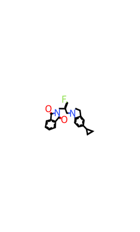 O=C1c2ccccc2C(=O)N1C/C(=C\F)CN1CCc2cc(C3CC3)ccc21